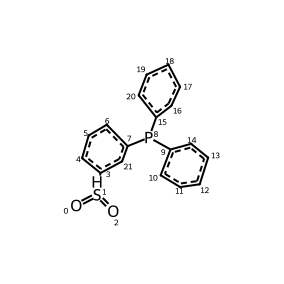 O=[SH](=O)c1cccc(P(c2ccccc2)c2ccccc2)c1